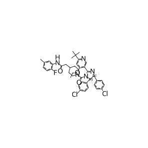 CCOc1cc(C(C)(C)C)ncc1C1=N[C@@](C)(c2ccc(Cl)cc2)[C@@](C)(c2ccc(Cl)cc2)N1C(=O)N1CCC(CC(=O)Nc2cc(C)ccc2F)CC1